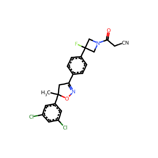 CC1(c2cc(Cl)cc(Cl)c2)CC(c2ccc(C3(F)CN(C(=O)CC#N)C3)cc2)=NO1